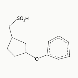 O=S(=O)(O)CC1CCC(Oc2ccccc2)C1